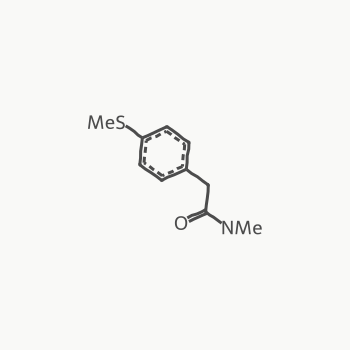 CNC(=O)Cc1ccc(SC)cc1